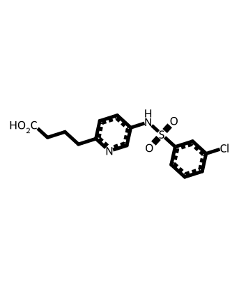 O=C(O)CCCc1ccc(NS(=O)(=O)c2cccc(Cl)c2)cn1